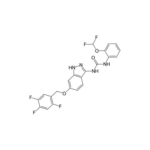 O=C(Nc1ccccc1OC(F)F)Nc1n[nH]c2cc(OCc3cc(F)c(F)cc3F)ccc12